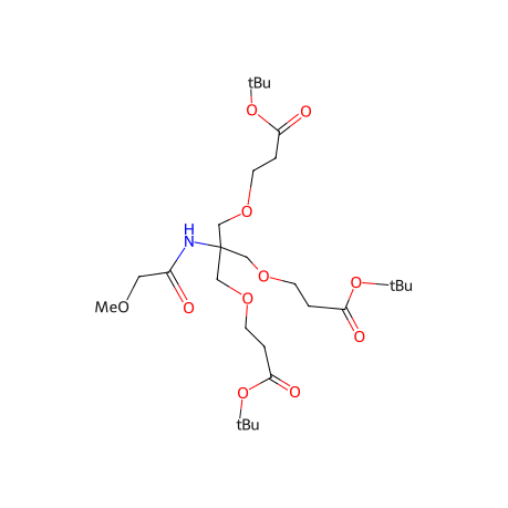 COCC(=O)NC(COCCC(=O)OC(C)(C)C)(COCCC(=O)OC(C)(C)C)COCCC(=O)OC(C)(C)C